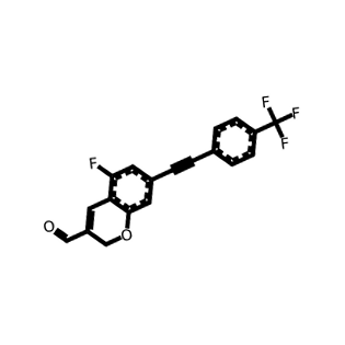 O=CC1=Cc2c(F)cc(C#Cc3ccc(C(F)(F)F)cc3)cc2OC1